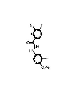 COc1ncc(NNC(=O)c2ccc(F)c(Br)n2)cc1F